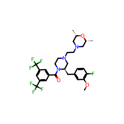 COc1cc(C[C@@H]2CN(CCN3C[C@@H](C)O[C@@H](C)C3)CCN2C(=O)c2cc(C(F)(F)F)cc(C(F)(F)F)c2)ccc1F